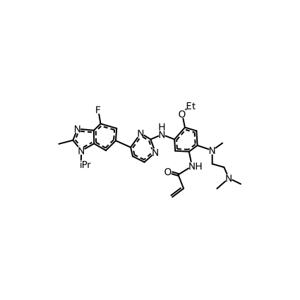 C=CC(=O)Nc1cc(Nc2nccc(-c3cc(F)c4nc(C)n(C(C)C)c4c3)n2)c(OCC)cc1N(C)CCN(C)C